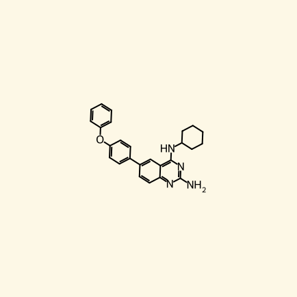 Nc1nc(NC2CCCCC2)c2cc(-c3ccc(Oc4ccccc4)cc3)ccc2n1